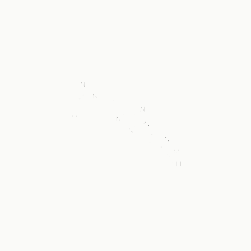 CS(=O)(=O)c1ccc(-n2cnc3c(OC4CCN(c5ncccc5C=O)CC4)ncnc32)cn1